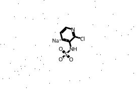 O=S(=O)([O-])Nc1cccnc1Cl.[Na+]